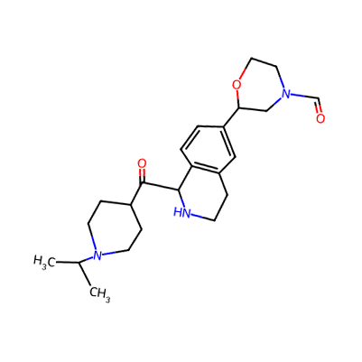 CC(C)N1CCC(C(=O)C2NCCc3cc(C4CN(C=O)CCO4)ccc32)CC1